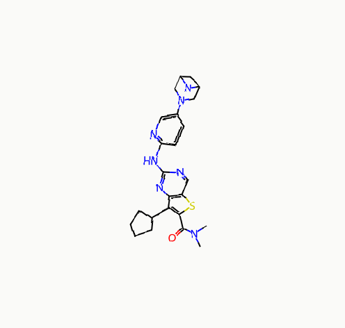 CN(C)C(=O)c1sc2cnc(Nc3ccc(N4CC5CC(C4)N5C)cn3)nc2c1C1CCCC1